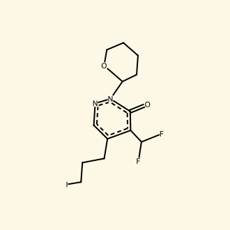 O=c1c(C(F)F)c(CCCI)cnn1C1CCCCO1